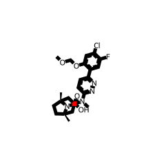 COCOc1cc(Cl)c(F)cc1-c1ccc(N(C)C2C[C@]3(C)CC[C@](C)(C2)N3C(=O)O)nn1